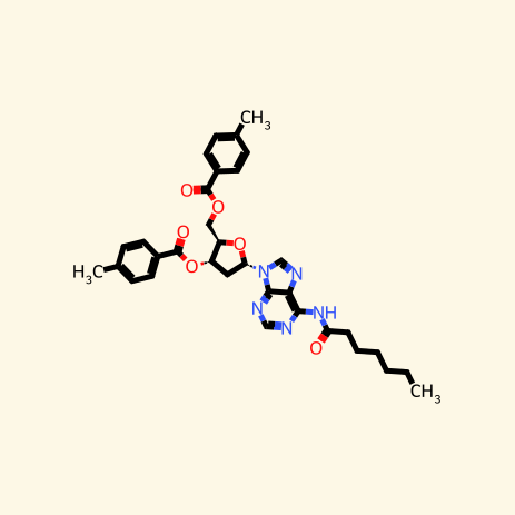 CCCCCCC(=O)Nc1ncnc2c1ncn2[C@@H]1C[C@H](OC(=O)c2ccc(C)cc2)[C@@H](COC(=O)c2ccc(C)cc2)O1